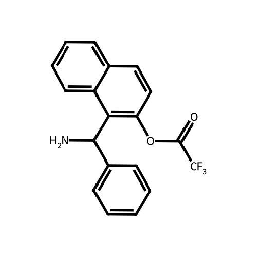 NC(c1ccccc1)c1c(OC(=O)C(F)(F)F)ccc2ccccc12